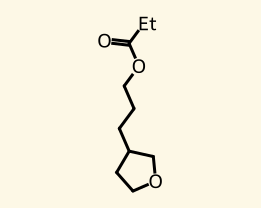 CCC(=O)OCCCC1CCOC1